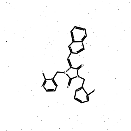 O=C1/C(=C\c2ccc3ccccc3c2)N(Cc2ccccc2F)C(=O)N1Cc1ccccc1F